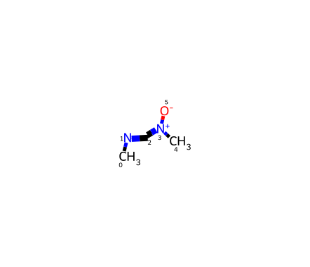 CN=C=[N+](C)[O-]